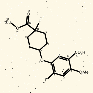 COc1cc(F)c(OC2CCC(F)(C(=O)OC(C)(C)C)CC2)cc1C(=O)O